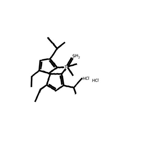 CCC1=CC(C(C)C)=[C]([Ti]([CH3])([CH3])(=[SiH2])[C]2=C(C(C)C)C=C(CC)C2)C1.Cl.Cl